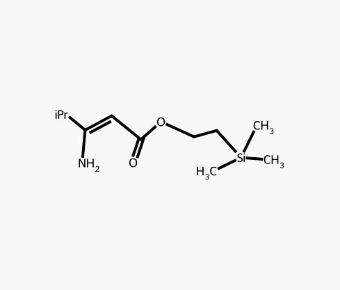 CC(C)/C(N)=C/C(=O)OCC[Si](C)(C)C